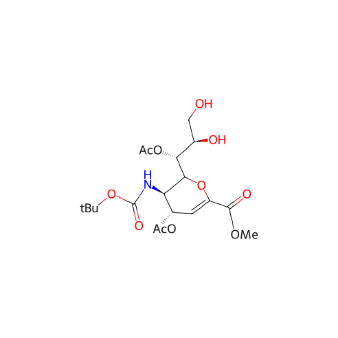 COC(=O)C1=C[C@H](OC(C)=O)[C@@H](NC(=O)OC(C)(C)C)C([C@H](OC(C)=O)[C@H](O)CO)O1